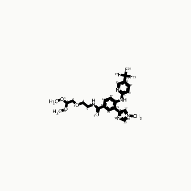 COC(COCCNC(=O)c1ccc(Nc2ccc(C(F)(F)F)cn2)c(-c2cn(C)cn2)c1)OC